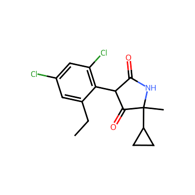 CCc1cc(Cl)cc(Cl)c1C1C(=O)NC(C)(C2CC2)C1=O